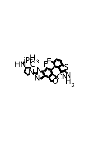 CC(C)N[C@H]1CCN(c2ncc3c4c(c(-c5c(F)ccc6sc(N)c(C#N)c56)c(F)c3n2)COC4)[C@@H]1C